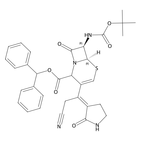 CC(C)(C)OC(=O)N[C@@H]1C(=O)N2C(C(=O)OC(c3ccccc3)c3ccccc3)C(C(CC#N)=C3CCNC3=O)=CS[C@H]12